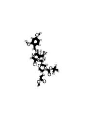 COC(=O)CC[C@@H]1CO[C@@H](c2nc(Br)c3c(NCc4ccc(OC)cc4OC)ncc(Cl)n23)CN1C(=O)OC(C)(C)C